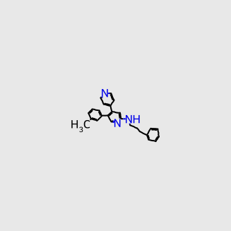 Cc1cccc(-c2cnc(NCCCc3ccccc3)cc2-c2ccncc2)c1